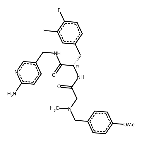 COc1ccc(CN(C)CC(=O)N[C@@H](Cc2ccc(F)c(F)c2)C(=O)NCc2ccc(N)nc2)cc1